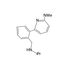 CNc1cccc(-c2ccccc2CNC(C)C)n1